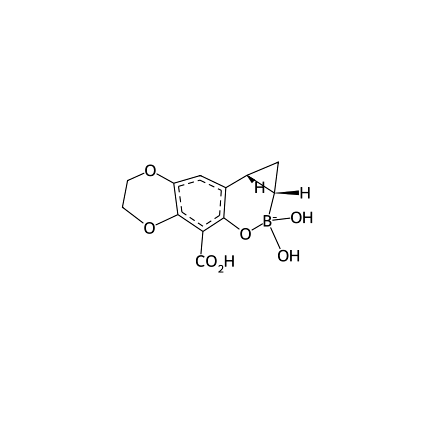 O=C(O)c1c2c(cc3c1O[B-](O)(O)[C@H]1C[C@@H]31)OCCO2